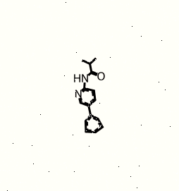 CC(C)C(=O)Nc1ccc(-c2ccccc2)cn1